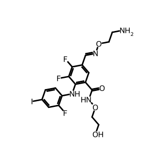 NCCON=Cc1cc(C(=O)NOCCO)c(Nc2ccc(I)cc2F)c(F)c1F